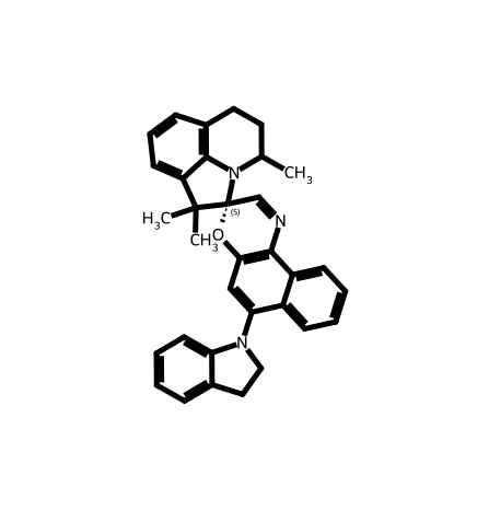 CC1CCc2cccc3c2N1[C@@]1(C=Nc2c(cc(N4CCc5ccccc54)c4ccccc24)O1)C3(C)C